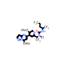 CCN(C(=O)NC(CCC(F)(F)F)C(F)(F)F)[C@@H](c1cc(-c2cc(OC)n3nccc3n2)c(OC)cn1)C(F)(F)F